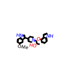 COc1ccc2[nH]cc(C3=CCN(C(Oc4cccc5[nH]ccc45)C(C)O)CC3)c2c1